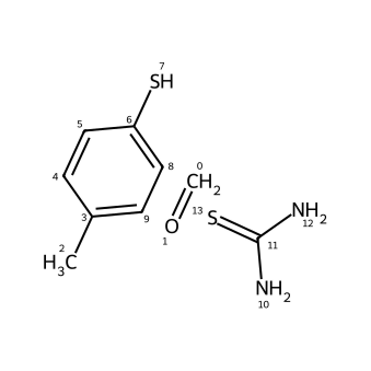 C=O.Cc1ccc(S)cc1.NC(N)=S